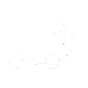 C=C(NCCC1=C\N=C/C=C(C)\C=C\1C)c1ccc(CNc2ccccc2)cc1